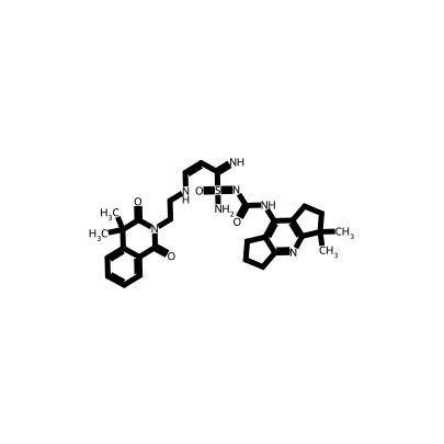 CC1(C)CCc2c1nc1c(c2NC(=O)N=S(N)(=O)C(=N)/C=C\NCCN2C(=O)c3ccccc3C(C)(C)C2=O)CCC1